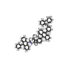 C=Cc1c(/C=C(\C)c2c3ccccc3c(-c3ccccc3)c3ccccc23)oc2ccc(-c3c4ccccc4c(-c4cccc(-n5c6ccccc6c6ccccc65)c4)c4ccccc34)cc12